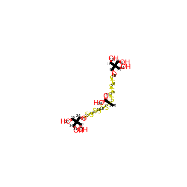 CC(SSSSSSOCC(CO)(CO)CO)(SSSSSSOCC(CO)(CO)CO)C(=O)O